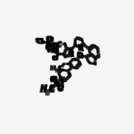 CCc1cc(OC2CCc3cccc(-c4cccc(-n5ncc(C(=O)O)c5CC)n4)c32)ccc1C1CCN(S(C)(=O)=O)CC1.CS(=O)(=O)Cl